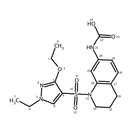 CCOc1nn(CC)cc1S(=O)(=O)N1CCCc2ccc(NC(=O)O)cc21